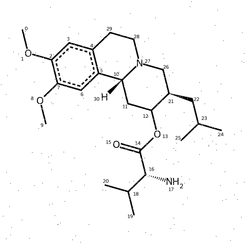 COc1cc2c(cc1OC)[C@H]1CC(OC(=O)[C@H](N)C(C)C)[C@H](CC(C)C)CN1CC2